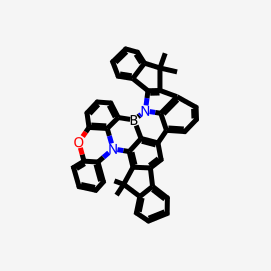 CC1(C)c2ccccc2-c2cc3c4c(c21)N1c2ccccc2Oc2cccc(c21)B4n1c2c(c4cccc-3c41)C(C)(C)c1ccccc1-2